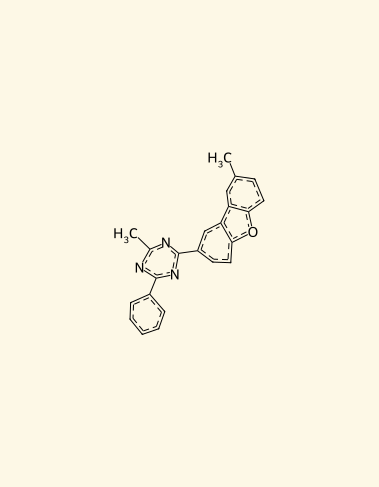 Cc1ccc2oc3ccc(-c4nc(C)nc(-c5ccccc5)n4)cc3c2c1